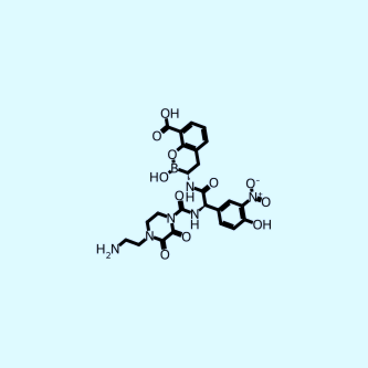 NCCN1CCN(C(=O)N[C@@H](C(=O)N[C@H]2Cc3cccc(C(=O)O)c3OB2O)c2ccc(O)c([N+](=O)[O-])c2)C(=O)C1=O